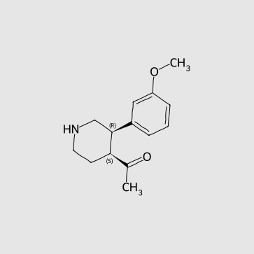 COc1cccc([C@@H]2CNCC[C@@H]2C(C)=O)c1